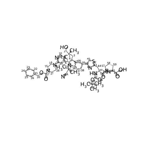 CC(C)(CO)Cc1c(-c2ccnc(N3CCN(C(=O)OCc4ccccc4)CC3)c2)n(C(C)(C)C#N)c2ccc(-c3csc(CC(NC(=O)OC(C)(C)C)C(=O)N4CCC[C@@H](C(=O)O)N4)n3)cc12